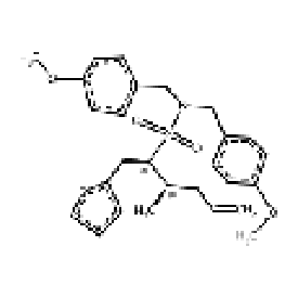 C=CC[C@@H](C)[C@@H](Cc1cccs1)S(=O)(=O)N(Cc1ccc(OC)cc1)Cc1ccc(OC)cc1